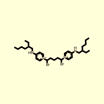 CCCCC(CC)CNc1cc[n+](C(Br)CCCC(Br)[n+]2ccc(NCC(CC)CCCC)cc2)cc1